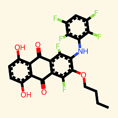 CCCCOc1c(F)c2c(c(F)c1Nc1c(F)c(F)cc(F)c1F)C(=O)c1c(O)ccc(O)c1C2=O